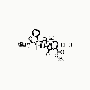 CC(C)(C)OC(=O)NC(C(=O)NC1C(=O)N2C(C(=O)OC(C)(C)C)=C(C=O)C[S+]([O-])[C@@H]12)c1ccccc1